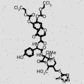 CO[C@@]1(NC(=O)C(NC(=O)c2coc3cc(OC(=O)OCC(Cl)(Cl)Cl)c(OC(=O)OCC(Cl)(Cl)Cl)cc3c2=O)c2ccc(O)cc2)C(=O)N2C(C(=O)O)=C(CSc3nnnn3C)CS[C@H]21